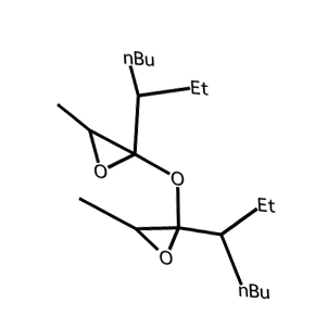 CCCCC(CC)C1(OC2(C(CC)CCCC)OC2C)OC1C